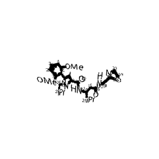 COc1cccc(OC)c1-c1cc(C(=O)NC(CC(=O)NCc2ncco2)C(C)C)nn1CC(C)C